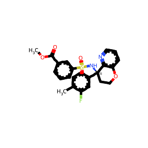 COC(=O)c1cccc(S(=O)(=O)N[C@]2(c3ccc(C)c(F)c3)CCOc3cccnc32)c1